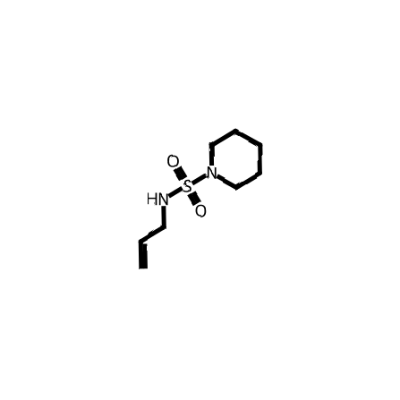 C=CCNS(=O)(=O)N1CCCCC1